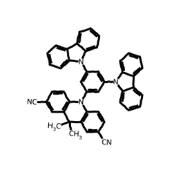 CC1(C)c2cc(C#N)ccc2N(c2cc(-n3c4ccccc4c4ccccc43)cc(-n3c4ccccc4c4ccccc43)c2)c2ccc(C#N)cc21